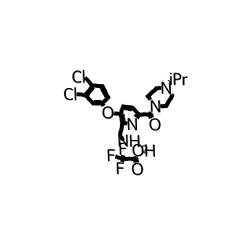 CC(C)N1CCN(C(=O)c2ccc(Oc3ccc(Cl)c(Cl)c3)c(CN)n2)CC1.O=C(O)C(F)(F)F